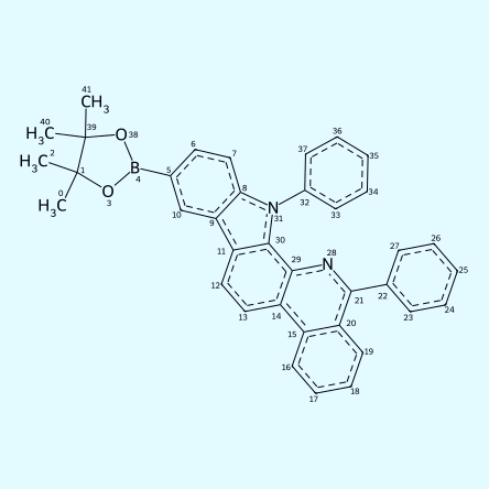 CC1(C)OB(c2ccc3c(c2)c2ccc4c5ccccc5c(-c5ccccc5)nc4c2n3-c2ccccc2)OC1(C)C